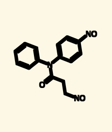 O=NCCC(=O)N(c1ccccc1)c1ccc(N=O)cc1